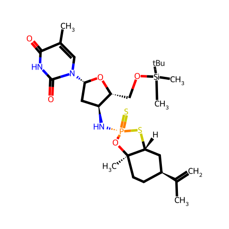 C=C(C)[C@H]1CC[C@@]2(C)O[P@](=S)(N[C@H]3C[C@H](n4cc(C)c(=O)[nH]c4=O)O[C@@H]3CO[Si](C)(C)C(C)(C)C)S[C@@H]2C1